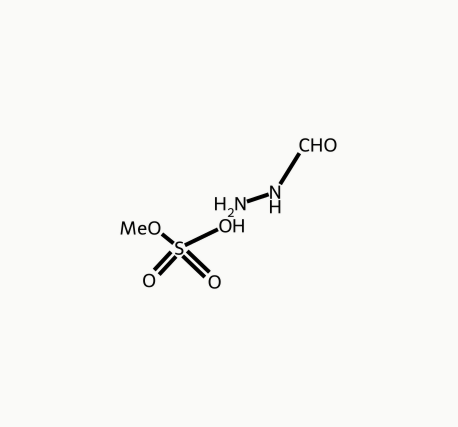 COS(=O)(=O)O.NNC=O